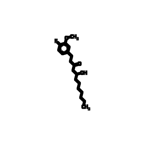 CCCCCCCC(O)CC(=O)CCc1ccc(F)c(OC)c1